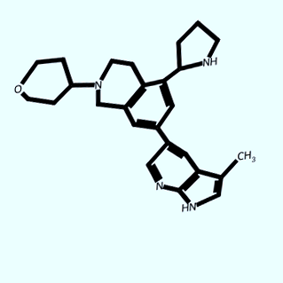 Cc1c[nH]c2ncc(-c3cc4c(c(C5CCCN5)c3)CCN(C3CCOCC3)C4)cc12